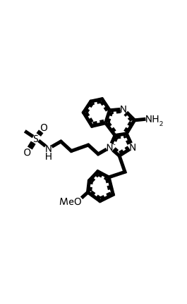 COc1ccc(Cc2nc3c(N)nc4ccccc4c3n2CCCCNS(C)(=O)=O)cc1